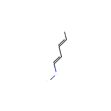 [CH2]CC=CC=C[N]CCC